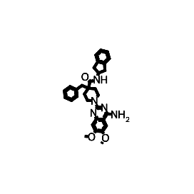 COc1cc2nc(N3CCC(Cc4ccccc4)(C(=O)NC4Cc5ccccc5C4)CC3)nc(N)c2cc1OC